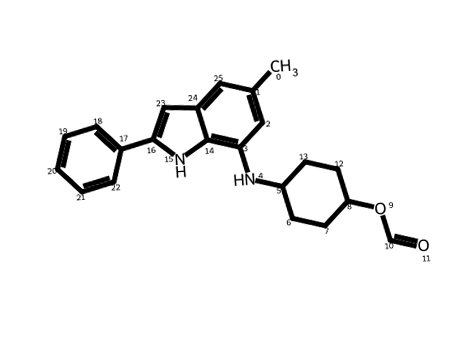 Cc1cc(NC2CCC(OC=O)CC2)c2[nH]c(-c3ccccc3)cc2c1